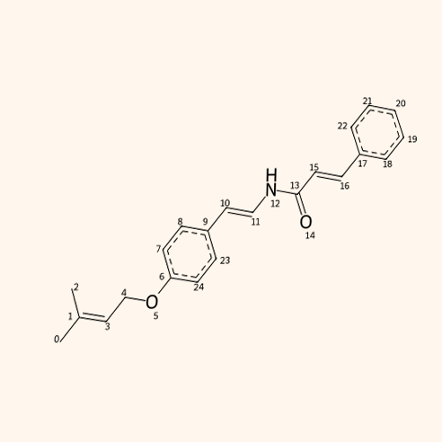 CC(C)=CCOc1ccc(/C=C/NC(=O)/C=C/c2ccccc2)cc1